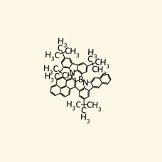 CC(C)(C)c1cc2c3c(c1)c1cc4ccccc4cc1n3B1c3c-2c2ccc4cccc5ccc(c3-n3c6c1cc(C(C)(C)C)cc6c1cc(C(C)(C)C)cc(C(C)(C)C)c13)c2c45